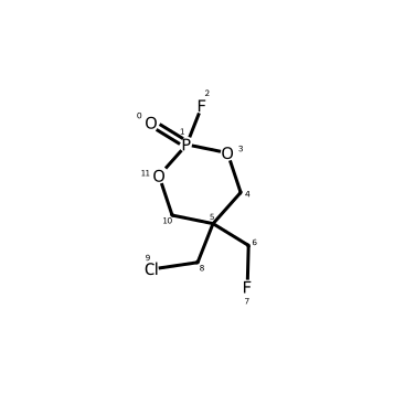 O=P1(F)OCC(CF)(CCl)CO1